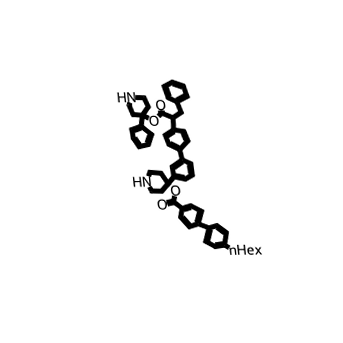 CCCCCCc1ccc(-c2ccc(C(=O)OC3(c4cccc(-c5ccc(C(Cc6ccccc6)C(=O)OC6(c7ccccc7)CCNCC6)cc5)c4)CCNCC3)cc2)cc1